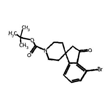 CC(C)(C)OC(=O)N1CCC2(CC1)CC(=O)c1c(Br)cccc12